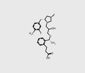 Cc1ccc(C[C@@H]2C[C@@H](F)CN2CC(O)CO[C@H](C)c2ccccc2CCC(=O)O)cc1F